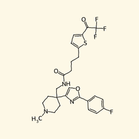 CN1CCC(CNC(=O)CCCc2ccc(C(=O)C(F)(F)F)s2)(c2coc(-c3ccc(F)cc3)n2)CC1